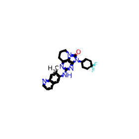 Cc1cc2ncccc2cc1Nc1nc2c3c(n1)n(C1CCC(F)(F)CC1)c(=O)n3CCC2